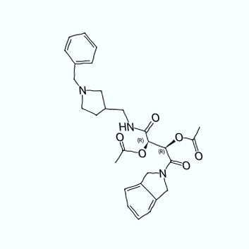 CC(=O)O[C@@H](C(=O)NCC1CCN(Cc2ccccc2)C1)[C@@H](OC(C)=O)C(=O)N1Cc2ccccc2C1